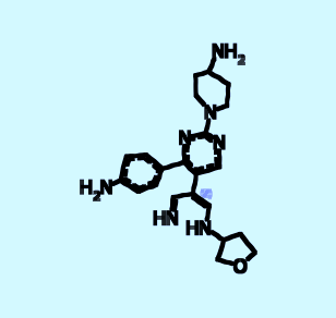 N=C/C(=C\NC1CCOC1)c1cnc(N2CCC(N)CC2)nc1-c1ccc(N)cc1